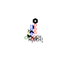 C[C@@]1(Cl)CS[C@H]2[C@H](NC(=O)COc3ccccc3)C(=O)N2[C@H]1C(=O)O[Si](C)(C)C